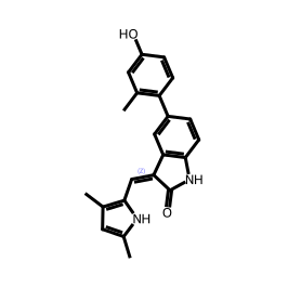 Cc1cc(C)c(/C=C2\C(=O)Nc3ccc(-c4ccc(O)cc4C)cc32)[nH]1